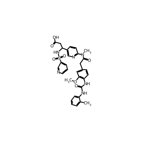 COc1cc(CC(=O)N(C)c2ccc(C(CC(=O)O)NS(=O)(=O)c3cccnc3)cn2)ccc1NC(=O)Nc1ccccc1C